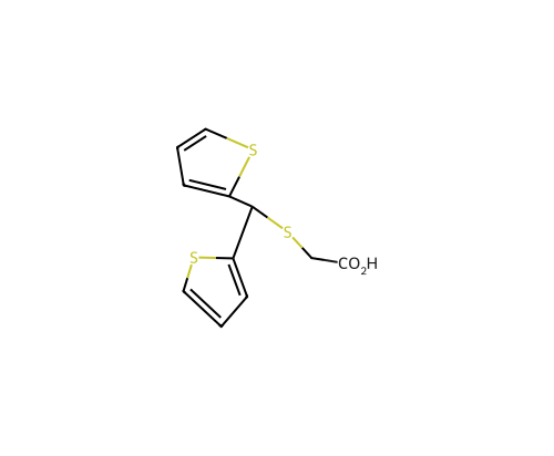 O=C(O)CSC(c1cccs1)c1cccs1